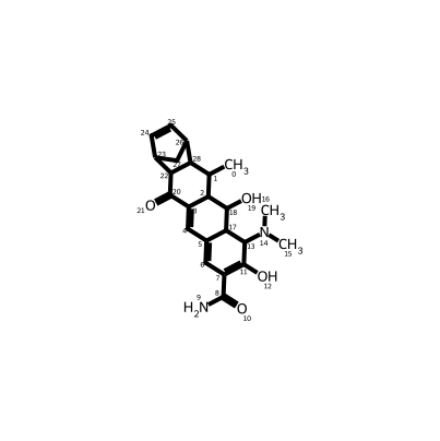 CC1C2C(=CC3=CC(C(N)=O)=C(O)C(N(C)C)C3C2O)C(=O)C2C3C=CC(C3)C12